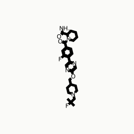 CC(C)(F)CN1CCC(COc2cnc(-c3ccc(C(=O)N4CCCCC4C(N)=O)cc3F)cn2)CC1